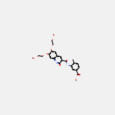 COCCOc1cc2cc(C(=O)Nc3cc(C(=O)OC)ccc3C)c(=O)[nH]c2cc1OCCOC